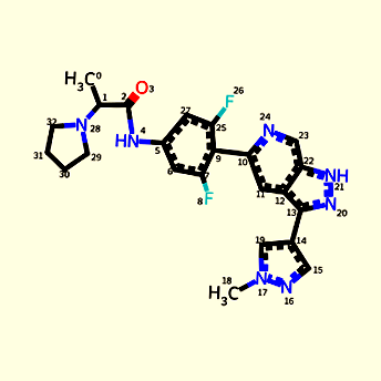 CC(C(=O)Nc1cc(F)c(-c2cc3c(-c4cnn(C)c4)n[nH]c3cn2)c(F)c1)N1CCCC1